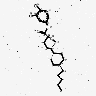 CCCCC[C@H]1CC[C@H]([C@H]2CC[C@H](C(=O)Oc3cnc(Cl)c(Cl)c3)CC2)CC1